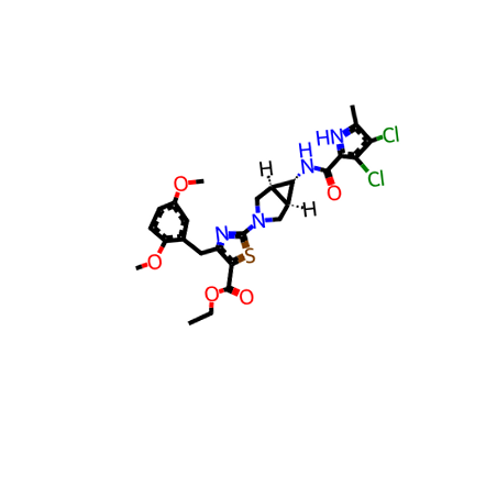 CCOC(=O)c1sc(N2C[C@@H]3[C@H](C2)[C@H]3NC(=O)c2[nH]c(C)c(Cl)c2Cl)nc1Cc1cc(OC)ccc1OC